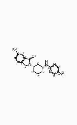 O=C1c2cc(Br)ccc2CN1[C@H]1CCC[C@@H](Nc2ncc(Cl)cn2)C1